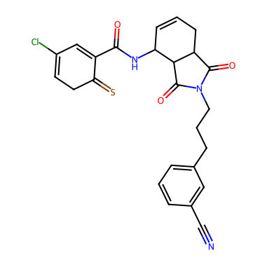 N#Cc1cccc(CCCN2C(=O)C3CC=CC(NC(=O)C4=CC(Cl)=CCC4=S)C3C2=O)c1